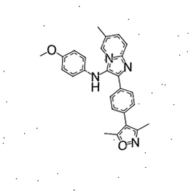 COc1ccc(Nc2c(-c3ccc(-c4c(C)noc4C)cc3)nc3ccc(C)cn23)cc1